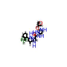 CC1CC(C2CCCC=C2C(F)(F)F)NN2C(C(=O)NC3CCNC(O[C@@H]4CCOC4)N3)CNC12